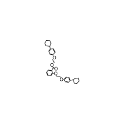 O=C(OCCOc1ccc(C2CCCCC2)cc1)c1ccccc1OCCOc1ccc(C2CCCCC2)cc1